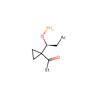 CCC(=O)C1([C@H](CC(C)=O)OP)CC1